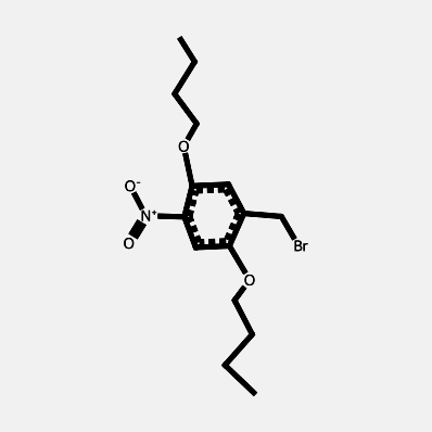 CCCCOc1cc([N+](=O)[O-])c(OCCCC)cc1CBr